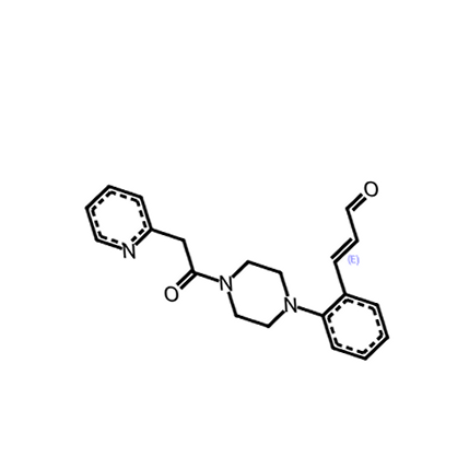 O=C/C=C/c1ccccc1N1CCN(C(=O)Cc2ccccn2)CC1